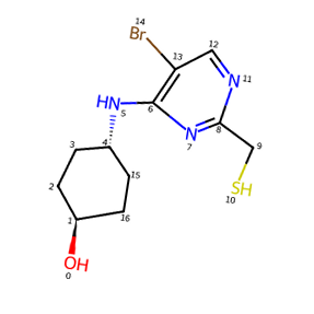 O[C@H]1CC[C@H](Nc2nc(CS)ncc2Br)CC1